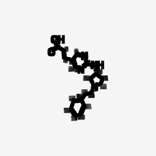 O=C(O)C=Cc1cnc(N[C@@H]2CCN(CCc3ccccc3)C2)nc1